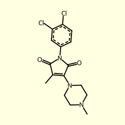 CC1=C(N2CCN(C)CC2)C(=O)N(c2ccc(Cl)c(Cl)c2)C1=O